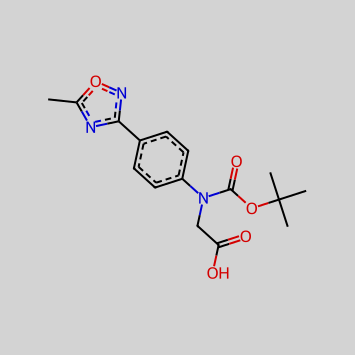 Cc1nc(-c2ccc(N(CC(=O)O)C(=O)OC(C)(C)C)cc2)no1